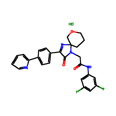 Cl.O=C(CN1C(=O)C(c2ccc(-c3ccccn3)cc2)=NC12CCCOC2)Nc1cc(F)cc(F)c1